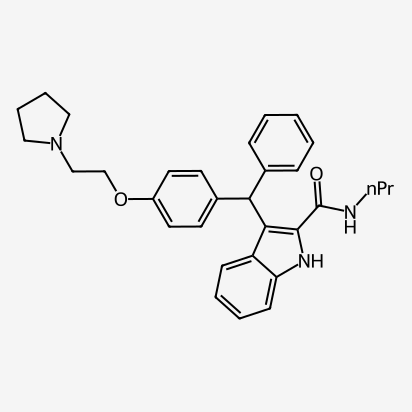 CCCNC(=O)c1[nH]c2ccccc2c1C(c1ccccc1)c1ccc(OCCN2CCCC2)cc1